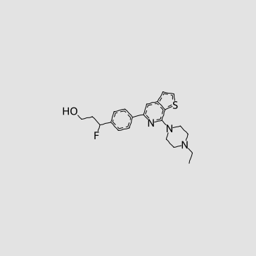 CCN1CCN(c2nc(-c3ccc(C(F)CCO)cc3)cc3ccsc23)CC1